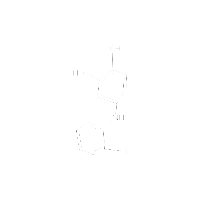 Cc1ccc(Nc2ccccc2Cl)cc1C